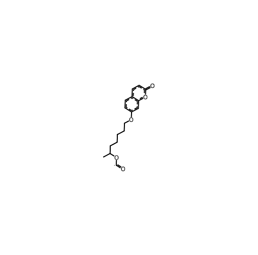 CC(CCCCCOc1ccc2ccc(=O)oc2c1)O[C]=O